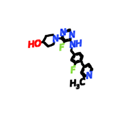 Cc1cc(-c2ccc(CNc3ncnc(N4CCC(O)CC4)c3F)cc2F)ccn1